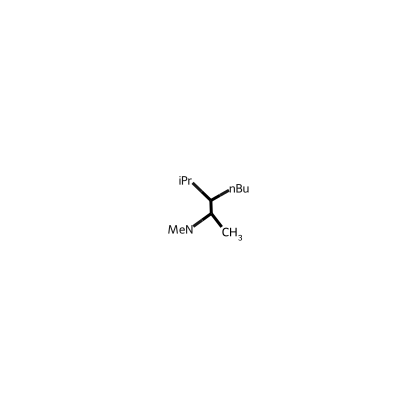 CCCCC(C(C)C)C(C)NC